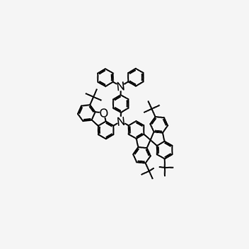 CC(C)(C)c1ccc2c(c1)C1(c3ccc(N(c4ccc(N(c5ccccc5)c5ccccc5)cc4)c4cccc5c4oc4c(C(C)(C)C)cccc45)cc3-2)c2cc(C(C)(C)C)ccc2-c2ccc(C(C)(C)C)cc21